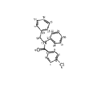 O=C(c1ccc(Cl)cc1)N(Cc1ccccc1)c1ccccc1